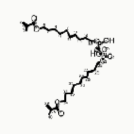 C=C(C)C(=O)OCCCCCCCCCCOP(=O)(O)OP(=O)(O)OCCCCCCCCCCOC(=O)C(=C)C